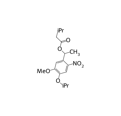 COc1cc(C(C)OC(=O)CC(C)C)c([N+](=O)[O-])cc1OC(C)C